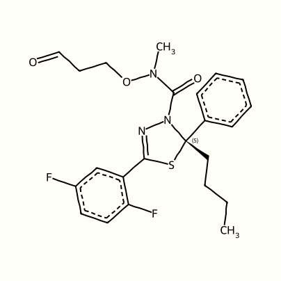 CCCC[C@@]1(c2ccccc2)SC(c2cc(F)ccc2F)=NN1C(=O)N(C)OCCC=O